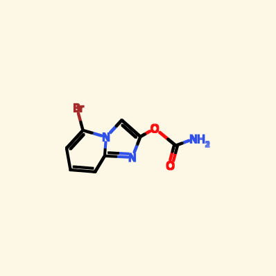 NC(=O)Oc1cn2c(Br)cccc2n1